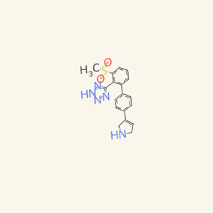 CS(=O)(=O)c1cccc(-c2ccc(C3=CCNC3)cc2)c1-c1nn[nH]n1